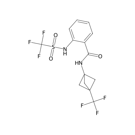 O=C(NC12CC(C(F)(F)F)(C1)C2)c1ccccc1NS(=O)(=O)C(F)(F)F